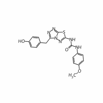 COc1ccc(NC(=O)Nc2nn3c(Cc4ccc(O)cc4)nnc3s2)cc1